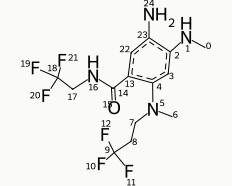 CNc1cc(N(C)CCC(F)(F)F)c(C(=O)NCC(F)(F)F)cc1N